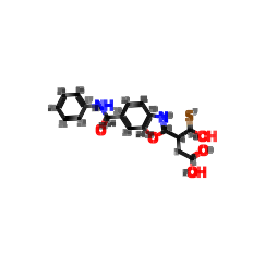 O=C(O)CC(C(O)=S)c1nc2ccc(C(=O)Nc3ccccc3)cc2o1